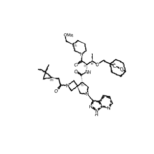 COC[C@H]1CCCN(C(=O)[C@@H](NC(=O)[C@@H]2CN(c3n[nH]c4ncccc34)CC23CN(C(=O)C[C@H]2CC2(C)C)C3)[C@@H](C)OCC23CCC(CC2)OC3)C1